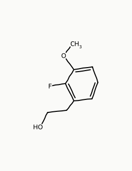 COc1cccc(CCO)c1F